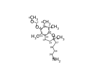 COCOc1c(C)c(C)c2c(c1C)CCC(C)(CCCCN)O2